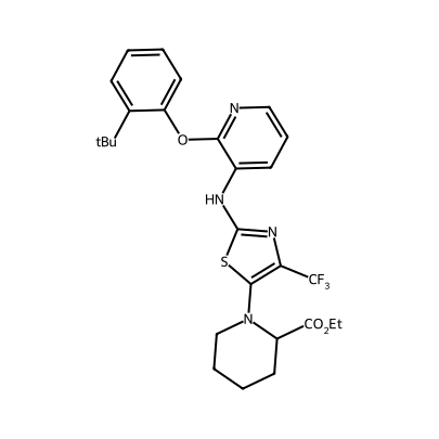 CCOC(=O)C1CCCCN1c1sc(Nc2cccnc2Oc2ccccc2C(C)(C)C)nc1C(F)(F)F